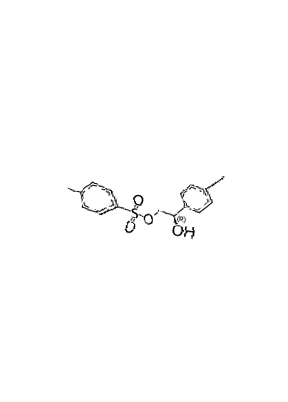 Cc1ccc([C@@H](O)COS(=O)(=O)c2ccc(C)cc2)cc1